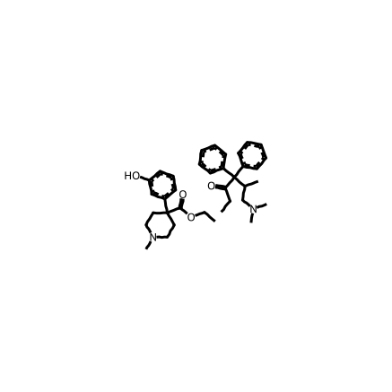 CCC(=O)C(c1ccccc1)(c1ccccc1)C(C)CN(C)C.CCOC(=O)C1(c2cccc(O)c2)CCN(C)CC1